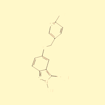 Cc1ccc(COc2ccc3nn(C)c(C(=O)O)c3c2)cn1